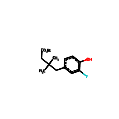 CCOC(=O)CC(C)(C)Cc1ccc(O)c(F)c1